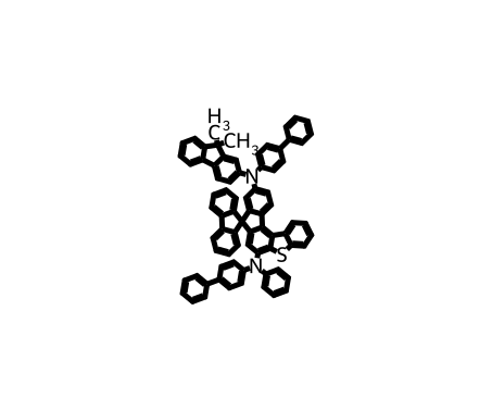 CC1(C)c2ccccc2-c2ccc(N(c3ccc(-c4ccccc4)cc3)c3ccc4c(c3)C3(c5ccccc5-c5ccccc53)c3cc(N(c5ccccc5)c5ccc(-c6ccccc6)cc5)c5sc6ccccc6c5c3-4)cc21